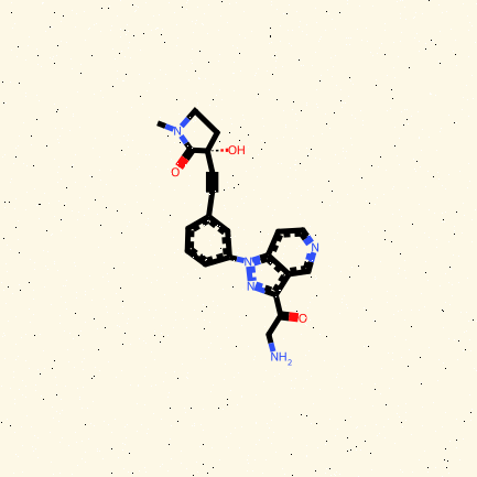 CN1CC[C@@](O)(C#Cc2cccc(-n3nc(C(=O)CN)c4cnccc43)c2)C1=O